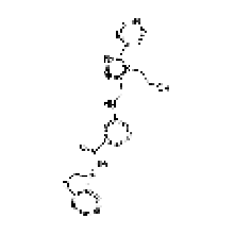 O=C(N[C@H]1COc2ccccc21)c1cccc(NCc2nnc(-c3ccncn3)n2CCO)c1